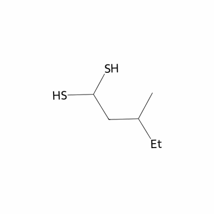 CCC(C)CC(S)S